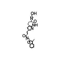 Cc1c(CN(C)C(=O)/C=C/c2cnc3c(c2)CCC(N2CC(O)C2)C(=O)N3)oc2ccccc12